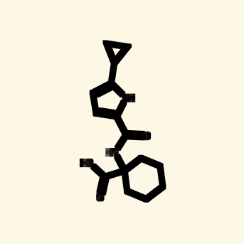 O=C(NC1(C(=O)O)CCCCC1)c1ccc(C2CC2)[nH]1